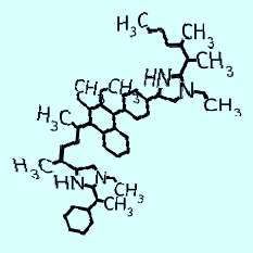 CCCCC(C)C(C)C1NC(C2CCC(C3C(CC)C(CC)C(C(C)CCC(C)C4CN(CC)C(C(C)C5CCCCC5)N4)C4CCCCC43)CC2)CN1CC